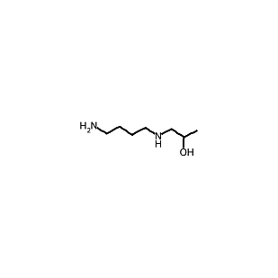 CC(O)CNCCCCN